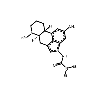 CCCN1CCC[C@@H]2c3cc(N)cc4c3c(cn4NC(=O)N(CC)CC)C[C@H]21